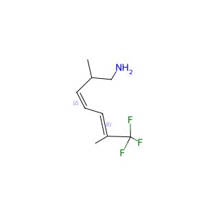 C/C(=C\C=C/C(C)CN)C(F)(F)F